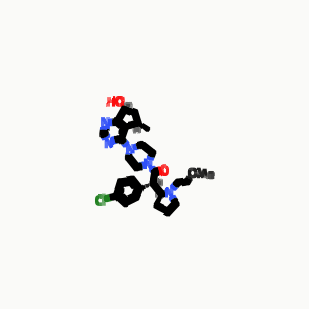 COCCN1CCC[C@H]1[C@@H](C(=O)N1CCN(c2ncnc3c2[C@H](C)C[C@H]3O)CC1)c1ccc(Cl)cc1